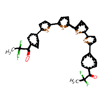 CC(F)(F)C(=O)c1ccc(-c2ccc(-c3ccc(-c4ccc(-c5ccc(-c6ccc(C(=O)C(C)(F)F)cc6)s5)s4)s3)s2)cc1